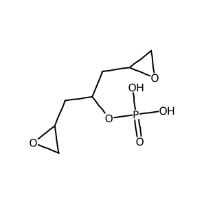 O=P(O)(O)OC(CC1CO1)CC1CO1